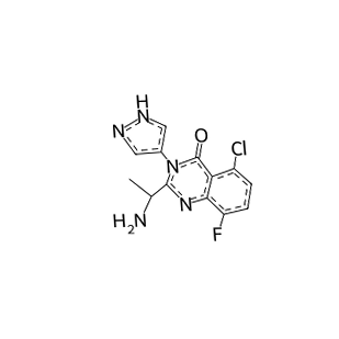 CC(N)c1nc2c(F)ccc(Cl)c2c(=O)n1-c1cn[nH]c1